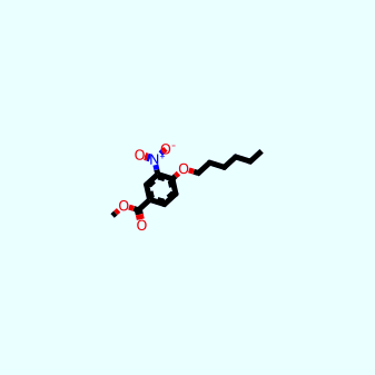 CCCCCCOc1ccc(C(=O)OC)cc1[N+](=O)[O-]